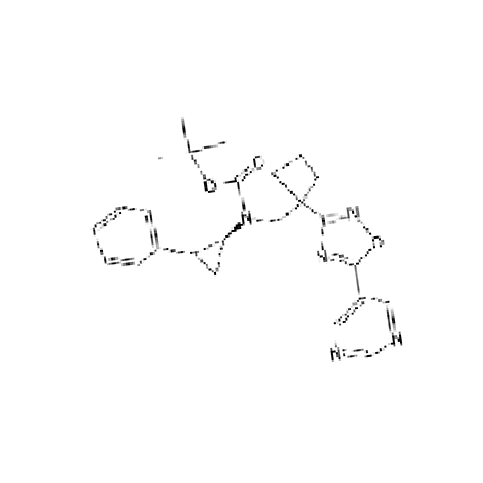 CC(C)(C)OC(=O)N(CC1(c2noc(-c3cncnc3)n2)CCC1)[C@H]1CC1c1ccccc1